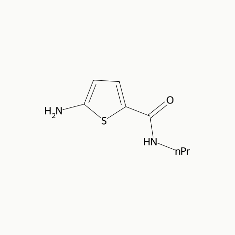 CCCNC(=O)c1ccc(N)s1